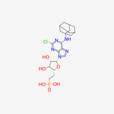 O=P(O)(O)CC[C@H]1O[C@@H](n2cnc3c(NC45CC6CC(CC(C6)C4)C5)nc(Cl)nc32)[C@@H](O)C1O